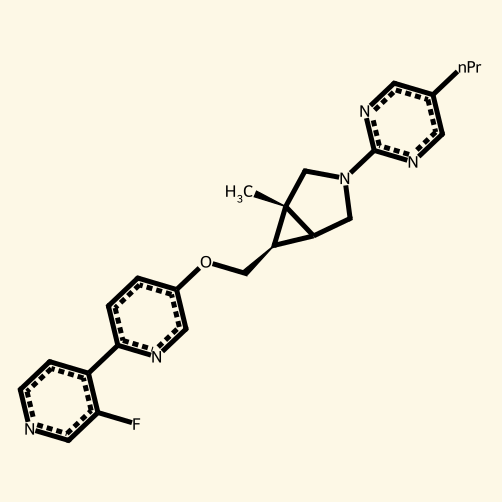 CCCc1cnc(N2CC3[C@@H](COc4ccc(-c5ccncc5F)nc4)[C@]3(C)C2)nc1